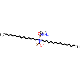 CCCCCCCCCCCCCCCCN(CCCCCCCCCCCCCCCC)C([O-])=S.NC([O-])=S.[Cu+2]